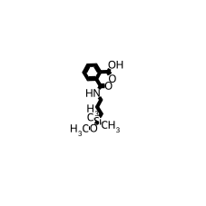 CO[Si](C)(C)CCCNC(=O)c1ccccc1C(=O)O